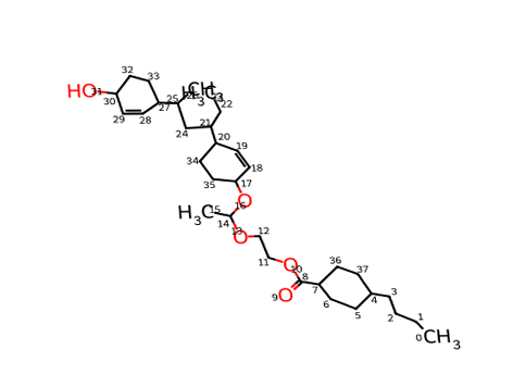 CCCCC1CCC(C(=O)OCCOC(C)OC2C=CC(C(CC)CC(C)C3C=CC(O)CC3)CC2)CC1